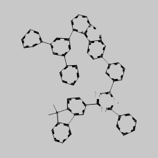 CC1(C)c2ccccc2-c2cc(-c3nc(-c4ccccc4)nc(-c4cccc(-c5ccc6c(c5)oc5cccc(-c7cc(-c8ccccc8)cc(-c8ccccc8)c7)c56)c4)n3)ccc21